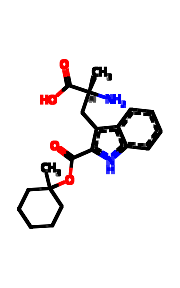 CC1(OC(=O)c2[nH]c3ccccc3c2C[C@@](C)(N)C(=O)O)CCCCC1